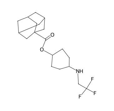 O=C(OC1CCC(NCC(F)(F)F)CC1)C12CC3CC(CC(C3)C1)C2